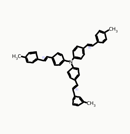 Cc1ccc(/C=C/c2ccc(N(c3ccc(/C=C/c4ccc(C)cc4)cc3)c3ccc(/C=C/c4cccc(C)c4)cc3)cc2)cc1